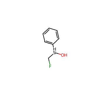 O[SiH](CF)c1ccccc1